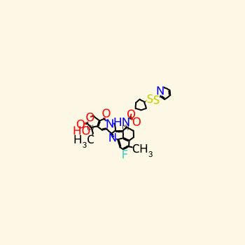 CC[C@@]1(O)C(=O)OCc2c1cc1n(c2=O)Cc2c-1nc1cc(F)c(C)c3c1c2[C@@H](NC(=O)O[C@H]1CC[C@H](SSc2ccccn2)CC1)CC3